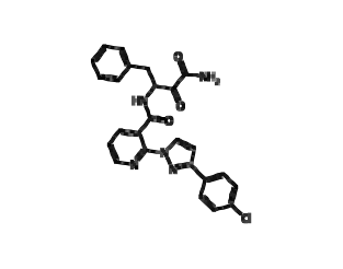 NC(=O)C(=O)C(Cc1ccccc1)NC(=O)c1cccnc1-n1ccc(-c2ccc(Cl)cc2)n1